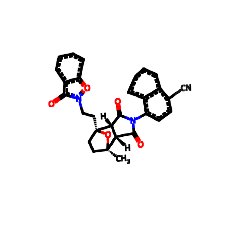 C[C@]12CC[C@](CCn3oc4ccccc4c3=O)(O1)[C@@H]1C(=O)N(c3ccc(C#N)c4ccccc34)C(=O)[C@@H]12